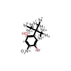 [2H]C([2H])([2H])C(c1cc(Br)c([N+](=O)[O-])cc1O)(C([2H])([2H])[2H])C([2H])([2H])[2H]